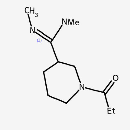 CCC(=O)N1CCCC(/C(=N/C)NC)C1